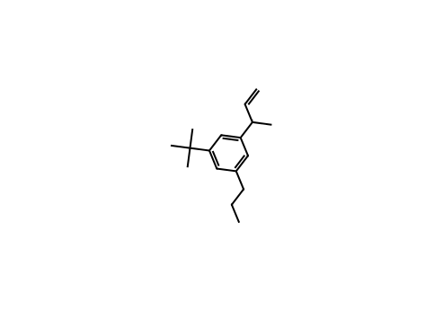 C=C[C](C)c1cc(CCC)cc(C(C)(C)C)c1